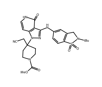 COC(=O)N1CCC(CC#N)(n2nc(Nc3ccc4c(c3)CN(C(C)(C)C)S4(=O)=O)c3c(=O)[nH]ccc32)CC1